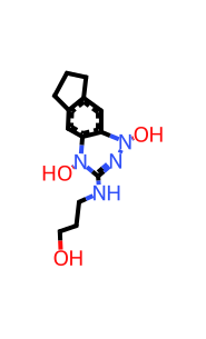 OCCCNC1=NN(O)c2cc3c(cc2N1O)CCC3